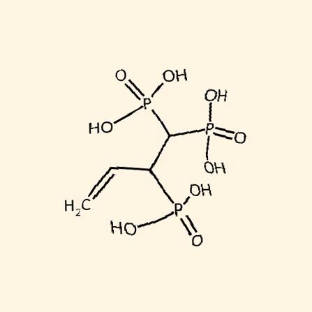 C=CC(C(P(=O)(O)O)P(=O)(O)O)P(=O)(O)O